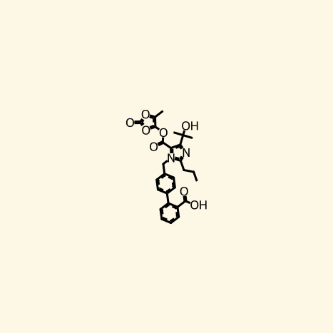 CCCc1nc(C(C)(C)O)c(C(=O)Oc2oc(=O)oc2C)n1Cc1ccc(-c2ccccc2C(=O)O)cc1